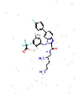 NCCCC(N)CNC(=O)c1nc2ccc(-c3ccc(F)cc3)cc2n1Cc1cc([N+](=O)[O-])ccc1F.O=C(O)C(F)(F)F